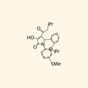 CSc1ccc(N2C(=O)C(O)=C(C(=O)CC(C)C)C2c2ccccc2OC(C)C)cc1